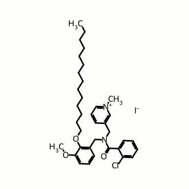 CCCCCCCCCCCCCCOc1c(CN(Cc2ccc[n+](C)c2)C(=O)c2ccccc2Cl)cccc1OC.[I-]